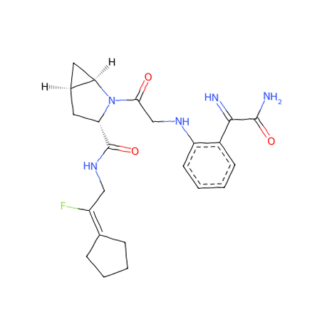 N=C(C(N)=O)c1ccccc1NCC(=O)N1[C@@H]2C[C@@H]2C[C@H]1C(=O)NCC(F)=C1CCCC1